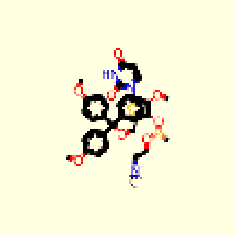 [C-]#[N+]CCOP(C)O[C@H]1[C@@H](OC)[C@H](n2ccc(=O)[nH]c2=O)S[C@@H]1COC(c1ccccc1)(c1ccc(OC)cc1)c1ccc(OC)cc1